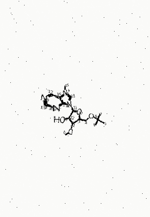 COC1C(COC(C)(C)C)OC(n2c[n+](C)c3cncnc32)C1O